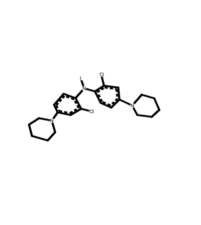 Clc1cc(N2CCCCC2)ccc1N(I)c1ccc(N2CCCCC2)cc1Cl